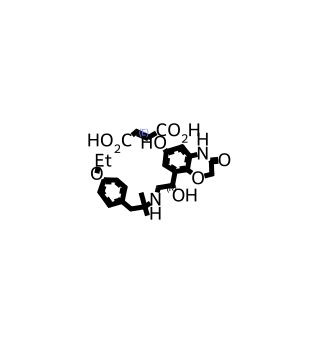 CCOc1ccc(CC(C)(C)NC[C@H](O)c2cc(O)cc3c2OCC(=O)N3)cc1.O=C(O)/C=C/C(=O)O